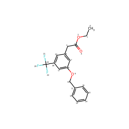 CCOC(=O)Cc1cc(OCc2ccccc2)cc(C(F)(F)F)c1